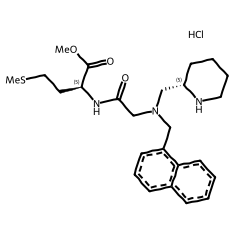 COC(=O)[C@H](CCSC)NC(=O)CN(Cc1cccc2ccccc12)C[C@@H]1CCCCN1.Cl